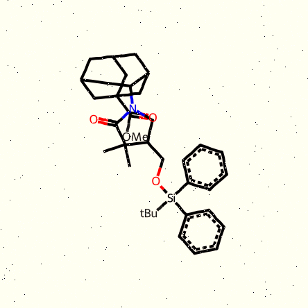 COC(=O)C12CC3CC(C1)C(N1CC(CO[Si](c4ccccc4)(c4ccccc4)C(C)(C)C)C(C)(C)C1=O)C(C3)C2